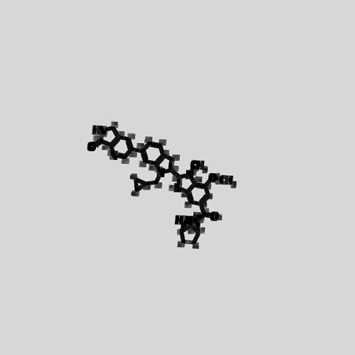 COc1cc(C(=O)N2CC3CCC2[C@@H]3N)cc2nc(-c3cc4ccc(-c5cnc6c(c5)CNC6=O)cc4n3CC3CC3)n(C)c12